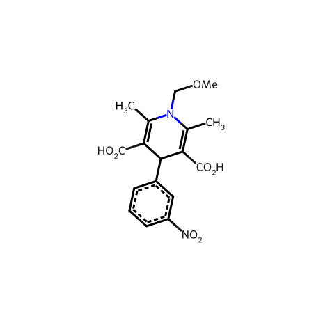 COCN1C(C)=C(C(=O)O)C(c2cccc([N+](=O)[O-])c2)C(C(=O)O)=C1C